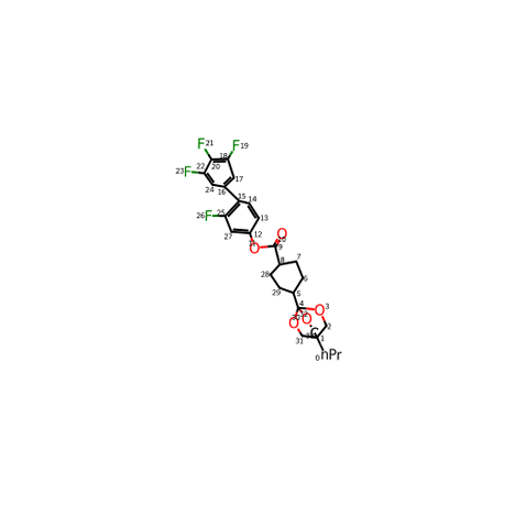 CCCC12COC(C3CCC(C(=O)Oc4ccc(-c5cc(F)c(F)c(F)c5)c(F)c4)CC3)(OC1)OC2